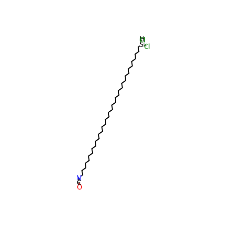 O=C=NCCCCCCCCCCCCCCCCCCCCCCCCCCCCCCCCCCCC[SiH](Cl)Cl